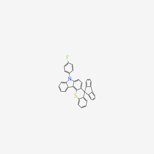 Fc1ccc(-n2c3ccccc3c3c4c(ccc32)C2(c3ccccc3S4)c3ccccc3-c3ccccc32)cc1